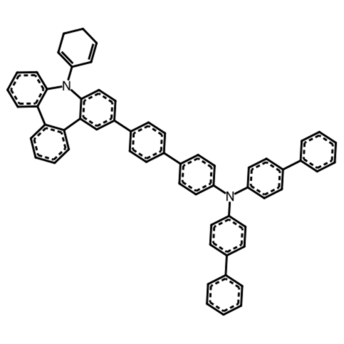 C1=CC(N2c3ccccc3-c3ccccc3-c3cc(-c4ccc(-c5ccc(N(c6ccc(-c7ccccc7)cc6)c6ccc(-c7ccccc7)cc6)cc5)cc4)ccc32)=CCC1